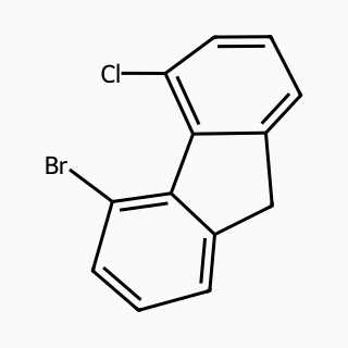 Clc1cccc2c1-c1c(Br)cccc1C2